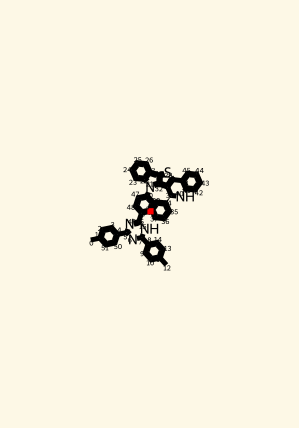 Cc1ccc(C2=NC(c3ccc(C)cc3)NC(c3ccc(-n4c5ccccc5c5sc6c(c54)[C@@H](c4ccccc4)Nc4ccccc4-6)cc3)=N2)cc1